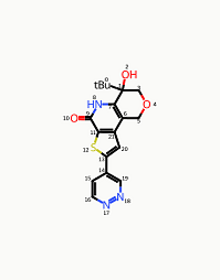 CC(C)(C)C1(O)COCc2c1[nH]c(=O)c1sc(-c3ccnnc3)cc21